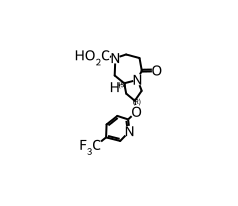 O=C(O)N1CCC(=O)N2C[C@H](Oc3ccc(C(F)(F)F)cn3)C[C@H]2C1